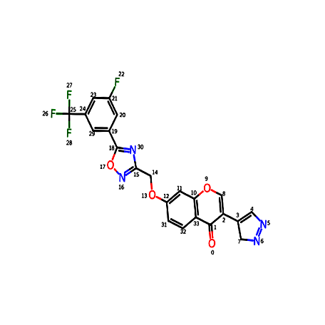 O=c1c(C2=CN=NC2)coc2cc(OCc3noc(-c4cc(F)cc(C(F)(F)F)c4)n3)ccc12